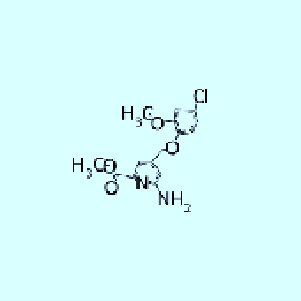 COC(=O)c1cc(COc2ccc(Cl)cc2OC)cc(N)n1